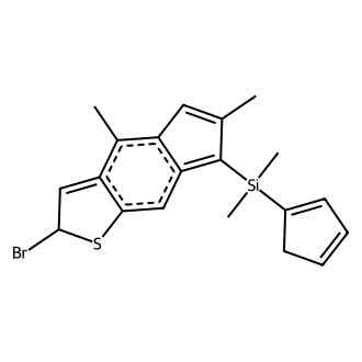 CC1=Cc2c(C)c3c(cc2=C1[Si](C)(C)C1=CC=CC1)SC(Br)C=3